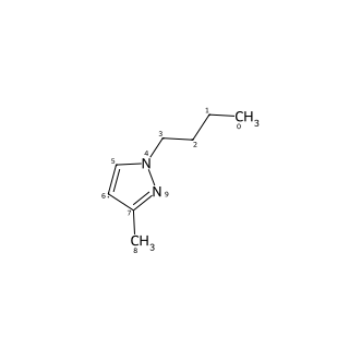 CCCCn1c[c]c(C)n1